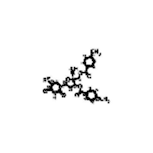 C#C[C@]1(COC(=O)c2ccc(C)cc2)OC(n2cc(Br)c(=O)[nH]c2=O)C[C@@H]1OC(=O)c1ccc(C)cc1